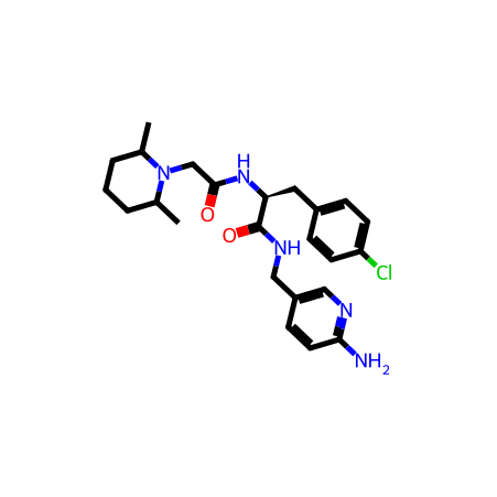 CC1CCCC(C)N1CC(=O)N[C@@H](Cc1ccc(Cl)cc1)C(=O)NCc1ccc(N)nc1